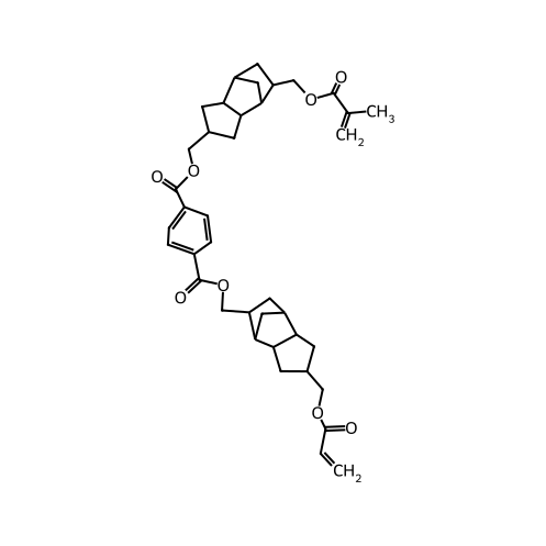 C=CC(=O)OCC1CC2C3CC(COC(=O)c4ccc(C(=O)OCC5CC6C7CC(COC(=O)C(=C)C)C(C7)C6C5)cc4)C(C3)C2C1